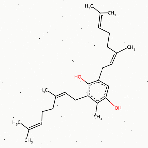 CC(C)=CCCC(C)=CCc1cc(O)c(C)c(CC=C(C)CCC=C(C)C)c1O